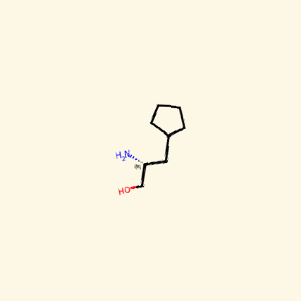 N[C@@H](CO)CC1CCCC1